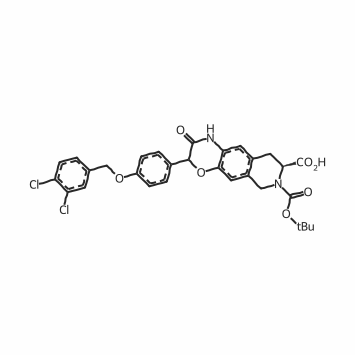 CC(C)(C)OC(=O)N1Cc2cc3c(cc2C[C@H]1C(=O)O)NC(=O)C(c1ccc(OCc2ccc(Cl)c(Cl)c2)cc1)O3